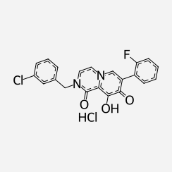 Cl.O=c1c(-c2ccccc2F)cn2ccn(Cc3cccc(Cl)c3)c(=O)c2c1O